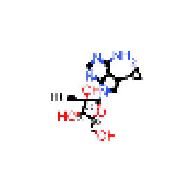 C#C[C@@]1(O)[C@H](O)[C@@H](CO)O[C@H]1n1cc(C2CC2)c2c(N)ncnc21